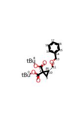 CC(C)(C)OC(=O)C1(C(=O)OC(C)(C)C)C[C@H]1COCc1ccccc1